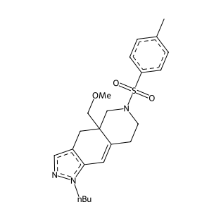 CCCCn1ncc2c1C=C1CCN(S(=O)(=O)c3ccc(C)cc3)CC1(COC)C2